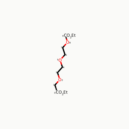 CCOC(=O)COCCOCCOC(=O)OCC